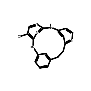 Clc1cnc2nc1Nc1cccc(c1)CCc1cc(ccn1)N2